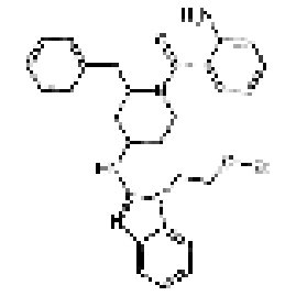 CCOCCn1c(NC2CCN(C(=O)c3ccccc3N)C(Cc3ccccc3)C2)nc2ccccc21